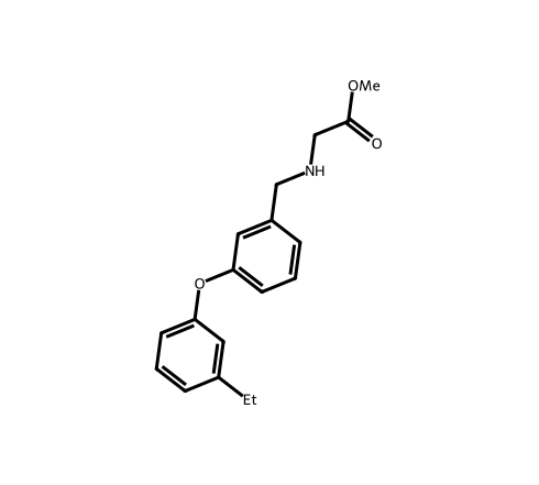 CCc1cccc(Oc2cccc(CNCC(=O)OC)c2)c1